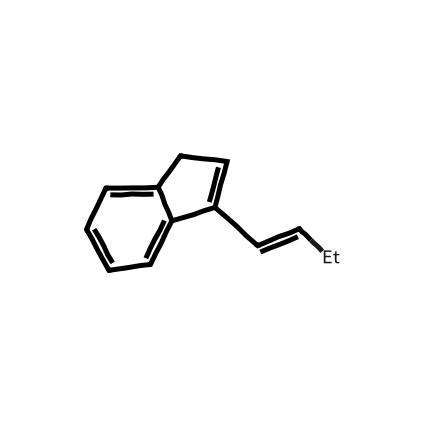 CC/C=C/C1=CCc2ccccc21